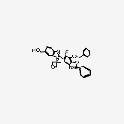 COc1cc(-c2nc3ccc(CO)cc3n2C2(C)COC2)c(F)c(OCc2ccccc2)c1OCc1ccccc1